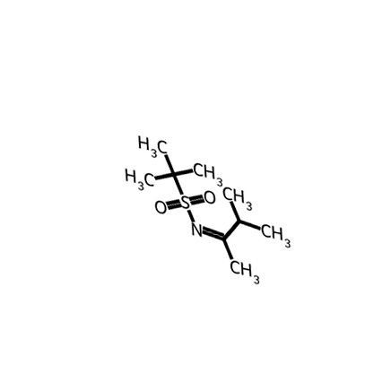 CC(=NS(=O)(=O)C(C)(C)C)C(C)C